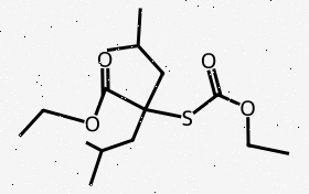 CCOC(=O)SC(CC(C)C)(CC(C)C)C(=O)OCC